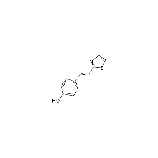 Oc1ccc(CCc2nccs2)cc1